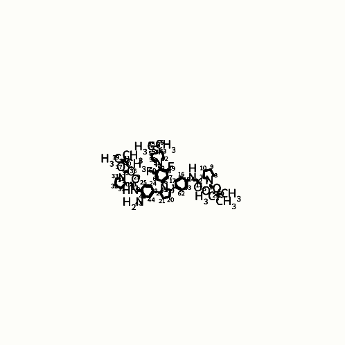 CC(C)(C)OC(=O)N1CCC[C@H]1C(=O)Nc1ccc([C@@H]2CC[C@@H](c3ccc(NC(=O)[C@@H]4CCCN4C(=O)OC(C)(C)C)c(N)c3)N2c2cc(F)c(N3CC[Si](C)(C)CC3)c(F)c2)cc1